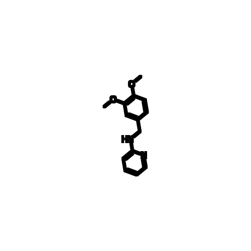 COc1ccc(CNc2ccccn2)cc1OC